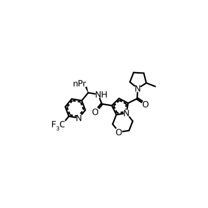 CCC[C@@H](NC(=O)c1cc(C(=O)N2CCCC2C)n2c1COCC2)c1ccc(C(F)(F)F)nc1